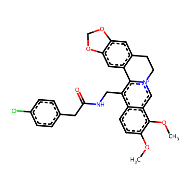 COc1ccc2c(CNC(=O)Cc3ccc(Cl)cc3)c3[n+](cc2c1OC)CCc1cc2c(cc1-3)OCO2